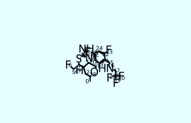 C[C@H]1C[C@H]2[C@@H](CF)SC(N)=N[C@@]2(c2cc(CNCC(F)(F)F)c(F)cc2F)CO1